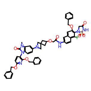 Cn1c(=O)n(-c2ccc(OCc3ccccc3)nc2OCc2ccccc2)c2ccc(N3CC4(CC(OCC(=O)Nc5ccc6c(F)c(N7CC(=O)NS7(=O)=O)c(OCc7ccccc7)cc6c5)C4)C3)cc21